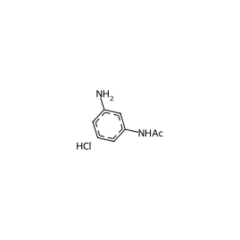 CC(=O)Nc1cccc(N)c1.Cl